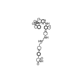 CS(=O)(=O)N1CCc2cccc(Nc3nc(Nc4ccc(N5CCC(NCCNCCC6CCN(c7ccc(C8CCC(=O)NC8=O)cc7)CC6)CC5)c5c4OCC5)ncc3Cl)c21